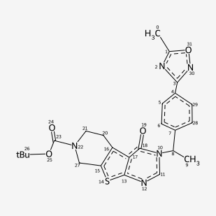 Cc1nc(-c2ccc(C(C)n3cnc4sc5c(c4c3=O)CCN(C(=O)OC(C)(C)C)C5)cc2)no1